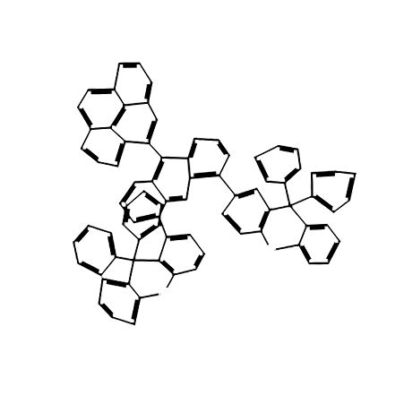 c1ccc(C2(c3ccccc3)c3ccccc3Oc3ccc(-c4cccc5c(-c6cc7cccc8ccc9cccc6c9c87)c6cccc(-c7cccc8c7C(c7ccccc7)(c7ccccc7)c7ccccc7O8)c6cc45)cc32)cc1